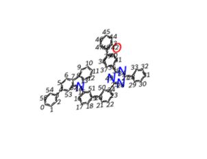 c1ccc(-c2ccc3c4ccccc4n(-c4cccc(-c5cccc(-c6nc(-c7ccccc7)nc(-c7ccc8c(c7)oc7ccccc78)n6)c5)c4)c3c2)cc1